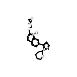 [O-][n+]1c(OC[C@H]2CO2)ccc2ccc(-c3ccnn3C3CCCCO3)cc21